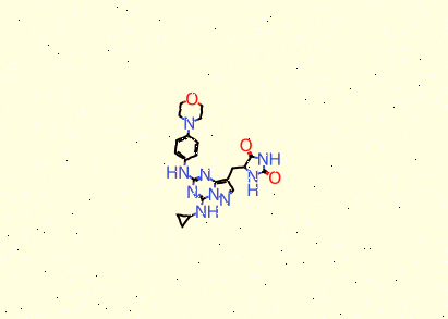 O=C1NC(=O)C(Cc2cnn3c(NC4CC4)nc(Nc4ccc(N5CCOCC5)cc4)nc23)N1